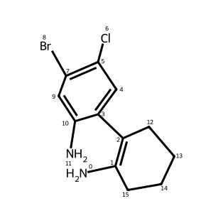 NC1=C(c2cc(Cl)c(Br)cc2N)CCCC1